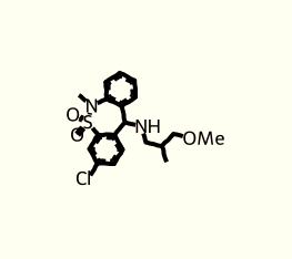 COCC(C)CNC1c2ccccc2N(C)S(=O)(=O)c2cc(Cl)ccc21